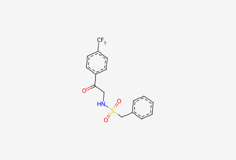 O=C(CNS(=O)(=O)Cc1ccccc1)c1ccc(C(F)(F)F)cc1